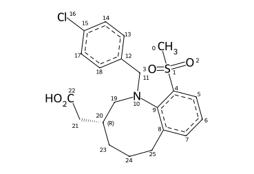 CS(=O)(=O)c1cccc2c1N(Cc1ccc(Cl)cc1)C[C@@H](CC(=O)O)CCC2